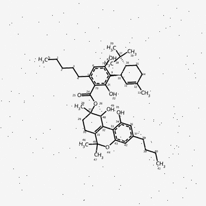 CCCCCc1cc(O)c([C@@H]2C=C(C)CC[C@H]2C(C)(C)C)c(O)c1C(=O)OC1(C)CCC2=C(c3c(O)cc(CCCC)cc3OC2(C)C)C1O